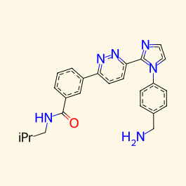 CC(C)CNC(=O)c1cccc(-c2ccc(-c3nccn3-c3ccc(CN)cc3)nn2)c1